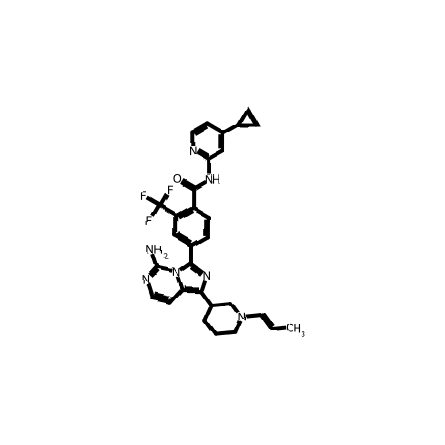 CC=CN1CCCC(c2nc(-c3ccc(C(=O)Nc4cc(C5CC5)ccn4)c(C(F)(F)F)c3)n3c(N)nccc23)C1